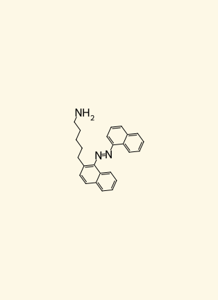 NCCCCCc1ccc2ccccc2c1N=Nc1cccc2ccccc12